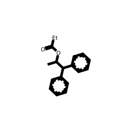 CCC(=O)OC(C)C(c1ccccc1)c1ccccc1